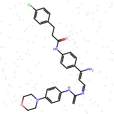 C=C(/N=C\C=C(/N)c1ccc(NC(=O)CCc2ccc(Cl)cc2)cc1)Nc1ccc(N2CCOCC2)cc1